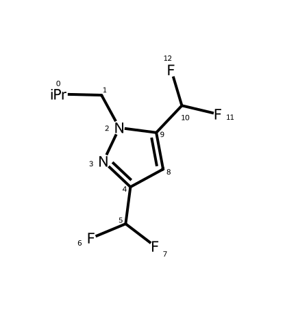 CC(C)Cn1nc(C(F)F)cc1C(F)F